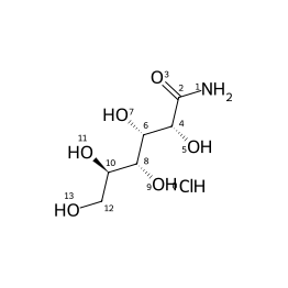 Cl.NC(=O)[C@H](O)[C@@H](O)[C@H](O)[C@H](O)CO